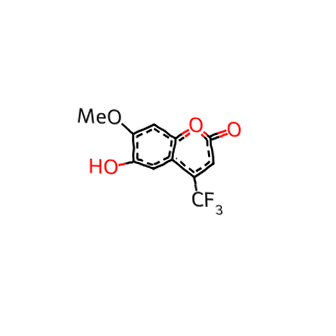 COc1cc2oc(=O)cc(C(F)(F)F)c2cc1O